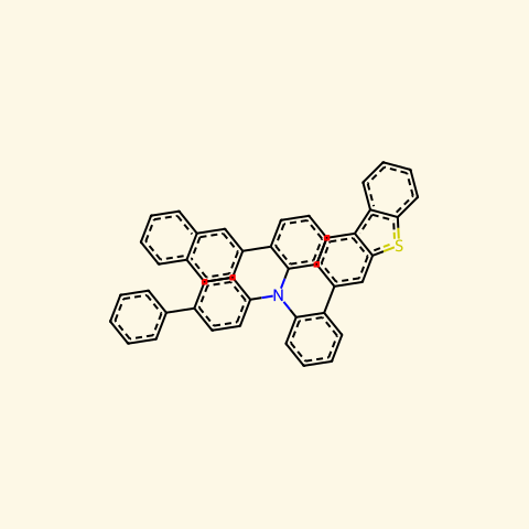 c1ccc(-c2ccc(N(c3ccccc3-c3ccc4ccccc4c3)c3ccccc3-c3ccc4c(c3)sc3ccccc34)cc2)cc1